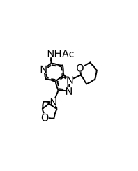 CC(=O)Nc1cc2c(cn1)c(N1CC3CC1CO3)nn2C1CCCCO1